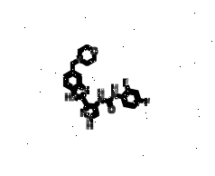 O=C(Nc1ccc(F)cc1F)Nc1c[nH]nc1-c1nc2cc(CN3CCOCC3)ccc2[nH]1